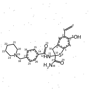 C=Cc1cc2c(cc1O)SC(NC(=O)c1ccc(CN3CCCCC3)cc1)(C(N)=O)C2